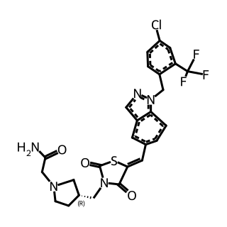 NC(=O)CN1CC[C@@H](CN2C(=O)SC(=Cc3ccc4c(cnn4Cc4ccc(Cl)cc4C(F)(F)F)c3)C2=O)C1